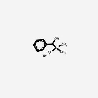 C[N+](C)(C)C(O)c1ccccc1.[Br-]